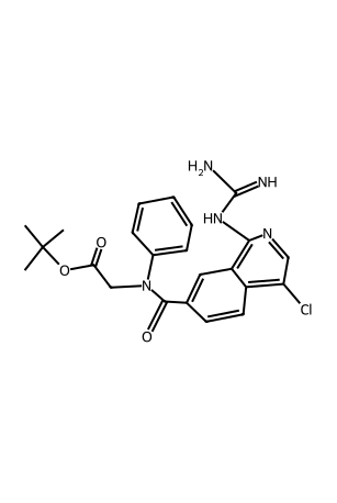 CC(C)(C)OC(=O)CN(C(=O)c1ccc2c(Cl)cnc(NC(=N)N)c2c1)c1ccccc1